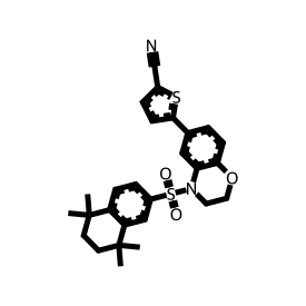 CC1(C)CCC(C)(C)c2cc(S(=O)(=O)N3CCOc4ccc(-c5ccc(C#N)s5)cc43)ccc21